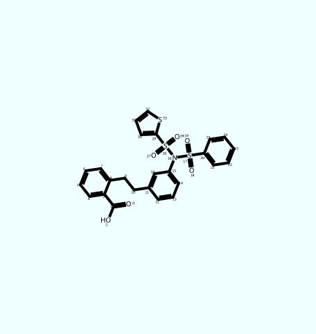 O=C(O)c1ccccc1CCc1cccc(N(S(=O)(=O)c2ccccc2)S(=O)(=O)c2cccs2)c1